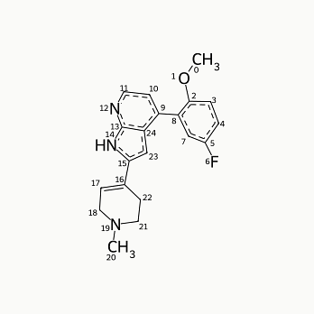 COc1ccc(F)cc1-c1ccnc2[nH]c(C3=CCN(C)CC3)cc12